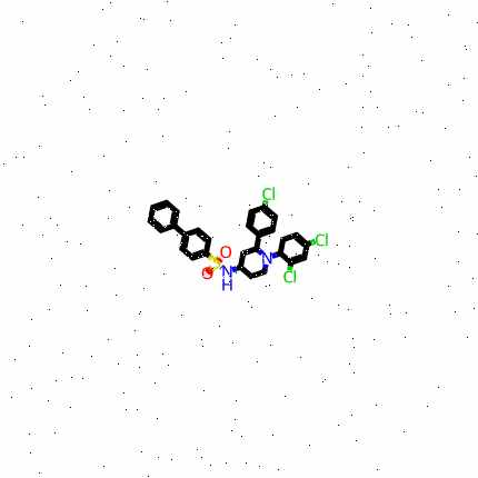 O=S(=O)(NC1CCN(C2CC=C(Cl)C=C2Cl)C(c2ccc(Cl)cc2)C1)c1ccc(-c2ccccc2)cc1